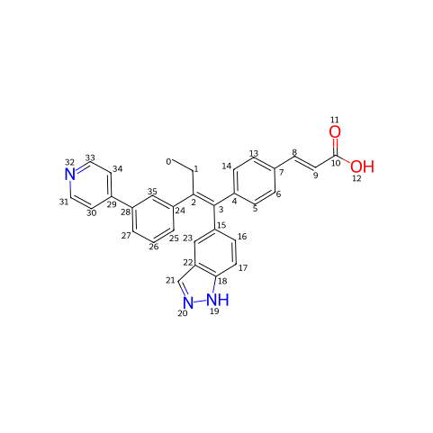 CCC(=C(c1ccc(C=CC(=O)O)cc1)c1ccc2[nH]ncc2c1)c1cccc(-c2ccncc2)c1